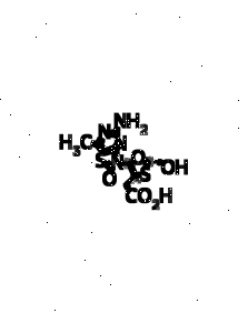 Cc1nc(N)nc2c1sc(=O)n2[C@@H]1O[C@H](CO)S[C@H]1CC(=O)O